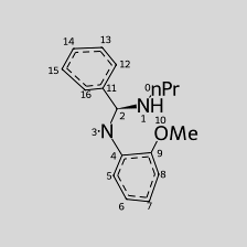 CCCN[C@@H]([N]c1ccccc1OC)c1ccccc1